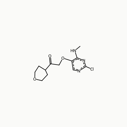 CNc1nc(Cl)ncc1OCC(=O)C1CCOCC1